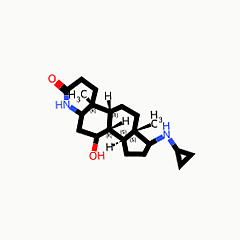 C[C@]12CCC(=O)NC1CC(O)[C@@H]1[C@H]2CC[C@]2(C)C(NC3CC3)CC[C@@H]12